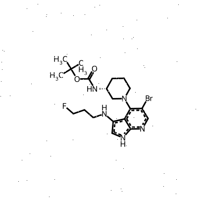 CC(C)(C)OC(=O)N[C@@H]1CCCN(c2c(Br)cnc3[nH]cc(NCCCF)c23)C1